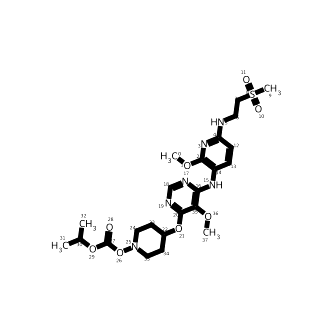 COc1nc(NCCS(C)(=O)=O)ccc1Nc1ncnc(OC2CCN(OC(=O)OC(C)C)CC2)c1OC